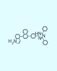 C/C=C\c1c(N)cccc1-c1ccc(-c2ccc(C3N=C(c4ccccc4)N=C(c4ccccc4)N3)cc2)c2ccccc12